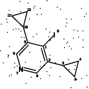 Ic1c(C2CC2)cncc1C1CC1